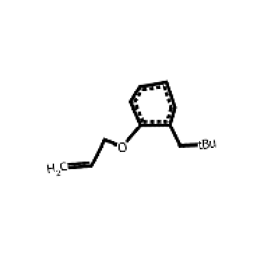 C=CCOc1ccccc1CC(C)(C)C